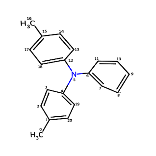 Cc1ccc(N(c2c[c]ccc2)c2ccc(C)cc2)cc1